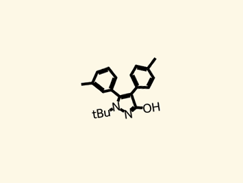 Cc1ccc(-c2c(O)nn(C(C)(C)C)c2-c2cccc(C)c2)cc1